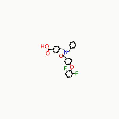 O=C(O)c1ccc(CN(Cc2ccccc2)C(=O)c2ccc(Oc3c(F)cccc3F)cc2)cc1